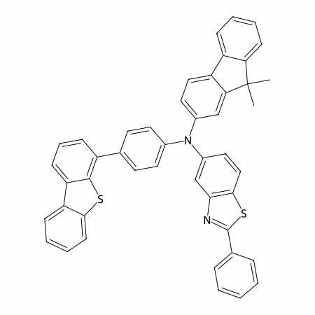 CC1(C)c2ccccc2-c2ccc(N(c3ccc(-c4cccc5c4sc4ccccc45)cc3)c3ccc4sc(-c5ccccc5)nc4c3)cc21